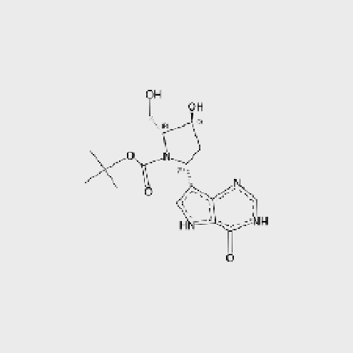 CC(C)(C)OC(=O)N1[C@@H](c2c[nH]c3c(=O)[nH]cnc23)C[C@H](O)[C@H]1CO